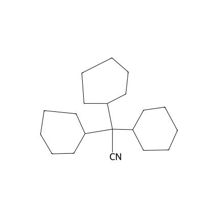 N#CC(C1CCCCC1)(C1CCCCC1)C1CCCCC1